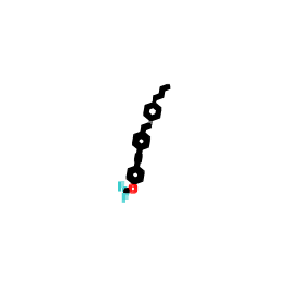 CCCC[C@H]1CC[C@H](CCc2ccc(C#Cc3ccc(OC(F)F)cc3)cc2)CC1